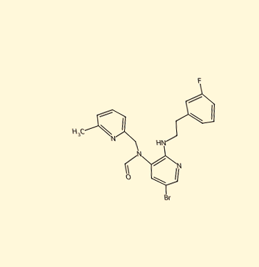 Cc1cccc(CN(C=O)c2cc(Br)cnc2NCCc2cccc(F)c2)n1